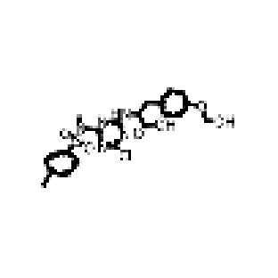 Cc1ccc(S(=O)(=O)N(C)c2nc(Cl)nc(NC(Cc3ccc(OCO)cc3)C(=O)O)n2)cc1